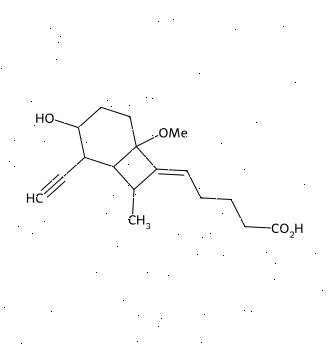 C#CC1C(O)CCC2(OC)C(=CCCCC(=O)O)C(C)C12